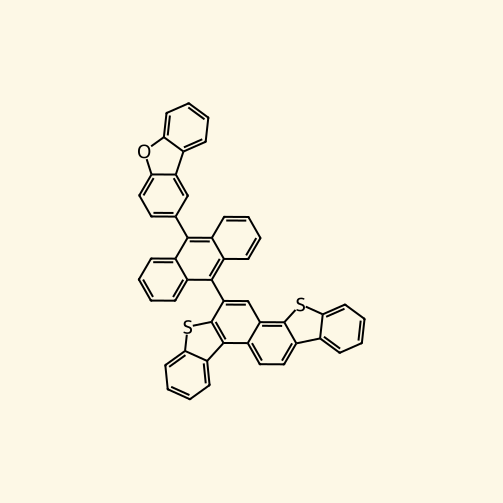 c1ccc2c(c1)oc1ccc(-c3c4ccccc4c(-c4cc5c(ccc6c7ccccc7sc65)c5c4sc4ccccc45)c4ccccc34)cc12